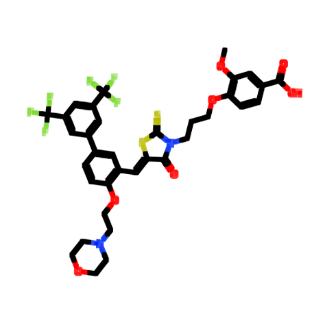 COc1cc(C(=O)O)ccc1OCCCN1C(=O)C(=Cc2cc(-c3cc(C(F)(F)F)cc(C(F)(F)F)c3)ccc2OCCN2CCOCC2)SC1=S